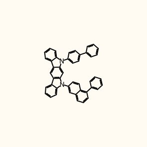 c1ccc(-c2ccc(-n3c4ccccc4c4cc5c6ccccc6n(-c6ccc7c(-c8ccccc8)cccc7c6)c5cc43)cc2)cc1